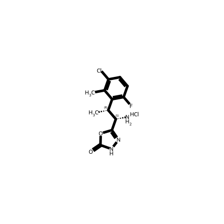 Cc1c(Cl)ccc(F)c1[C@@H](C)[C@H](N)c1n[nH]c(=O)o1.Cl